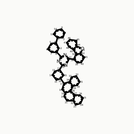 c1ccc(-c2cccc(-c3nc(-c4cccc(-c5cc6ccc7ccccc7c6c6ccccc56)c4)nc(-c4cccc5oc6ccccc6c45)n3)c2)cc1